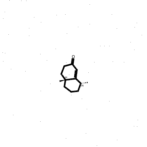 C[C@@H]1CCC[C@]2(C)CCC(=O)C=C12